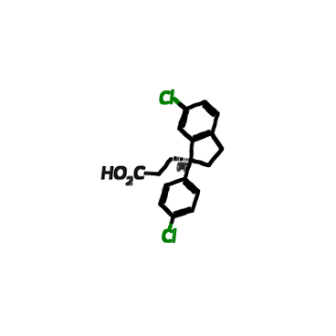 O=C(O)CC[C@@]1(c2ccc(Cl)cc2)CCc2ccc(Cl)cc21